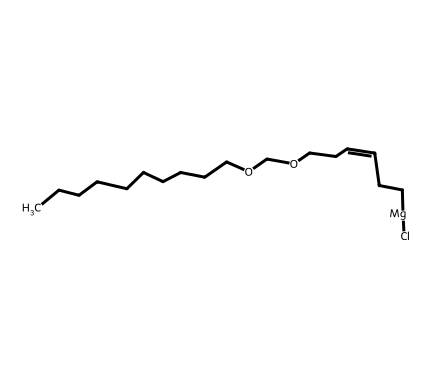 CCCCCCCCCCOCOCC/C=C\C[CH2][Mg][Cl]